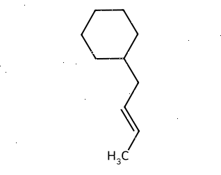 CC=CCC1CCCCC1